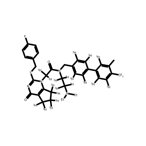 [2H]c1c([2H])c(-c2c([2H])c([2H])c(C(F)(F)F)c(C)c2[2H])c([2H])c([2H])c1CN(C(=O)C([2H])([2H])n1c(SCc2ccc(F)cc2)nc(=O)c2c1C([2H])([2H])C([2H])([2H])C2([2H])[2H])C([2H])([2H])C([2H])([2H])N(CC)CC